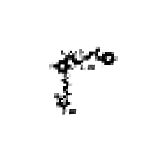 CN[C@@H](Cc1cc(F)cc(OCCCCN2CC(C=O)CC2=O)c1)[C@H](O)[C@@H](C=O)NCCN(C)Cc1ccccc1